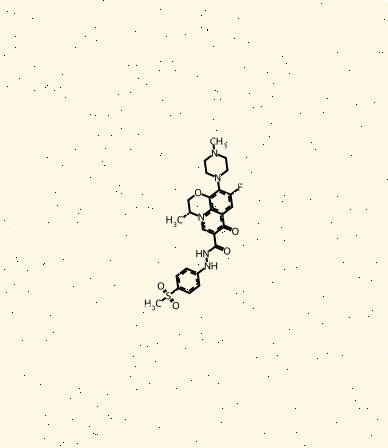 C[C@H]1COc2c(N3CCN(C)CC3)c(F)cc3c(=O)c(C(=O)NNc4ccc(S(C)(=O)=O)cc4)cn1c23